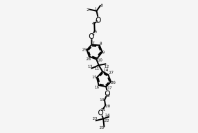 CC(C)OCCOc1ccc(C(C)(C)c2ccc(OCCOC(C)(C)C)cc2)cc1